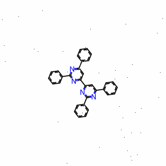 c1ccc(-c2cc(-c3cc(-c4ccccc4)nc(-c4ccccc4)n3)nc(-c3ccccc3)n2)cc1